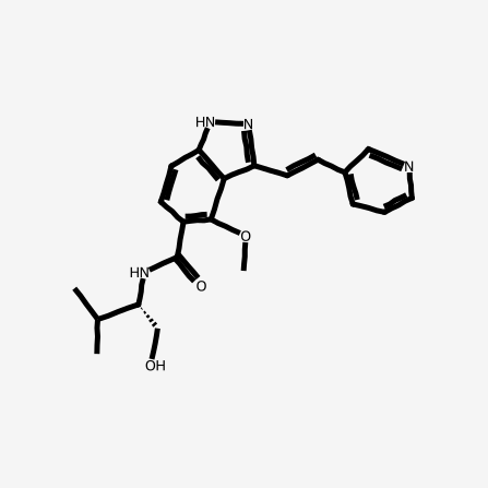 COc1c(C(=O)N[C@H](CO)C(C)C)ccc2[nH]nc(/C=C/c3cccnc3)c12